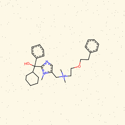 Cn1c(C[N+](C)(C)CCOCCc2ccccc2)cnc1C(O)(c1ccccc1)C1CCCCC1